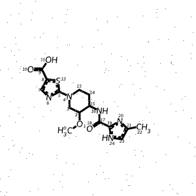 COC1CN(c2ncc(C(=O)O)s2)CCC1NC(=O)c1nc(C)c[nH]1